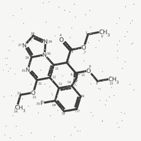 CCOC(=O)C(C(=O)OCC)c1c(-c2c(F)cccc2F)c(OCC)nc2ncnn12